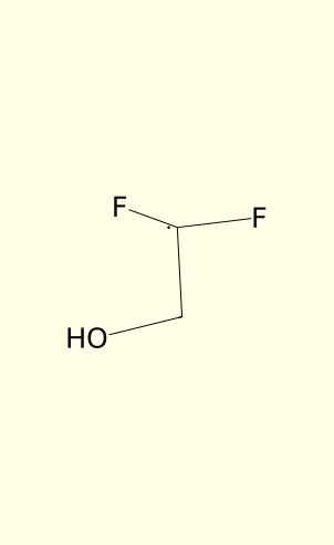 OC[C](F)F